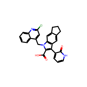 O=C(O)c1c(-c2ccc[nH]c2=O)c2cc3c(cc2n1Cc1cc(Cl)nc2ccccc12)CCC3